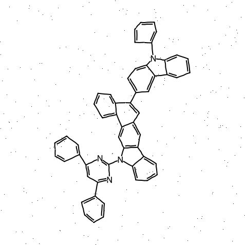 c1ccc(-c2cc(-c3ccccc3)nc(-n3c4ccccc4c4cc5cc(-c6ccc7c(c6)c6ccccc6n7-c6ccccc6)c6ccccc6c5cc43)n2)cc1